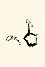 Cc1cccs1.O=CCl